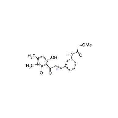 COCC(=O)Nc1cccc(/C=C/C(=O)c2c(O)cc(C)n(C)c2=O)c1